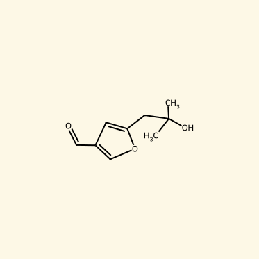 CC(C)(O)Cc1cc(C=O)co1